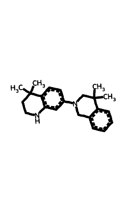 CC1(C)CN(c2ccc3c(c2)NCCC3(C)C)Cc2ccccc21